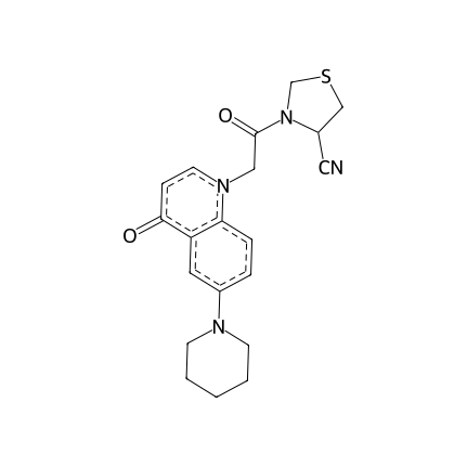 N#CC1CSCN1C(=O)Cn1ccc(=O)c2cc(N3CCCCC3)ccc21